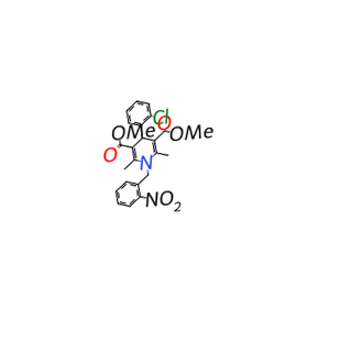 COC(=O)C1=C(C)N(Cc2ccccc2[N+](=O)[O-])C(C)=C(C(=O)OC)C1c1ccccc1Cl